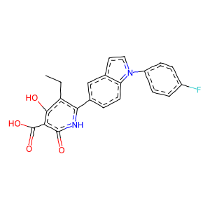 CCc1c(-c2ccc3c(ccn3-c3ccc(F)cc3)c2)[nH]c(=O)c(C(=O)O)c1O